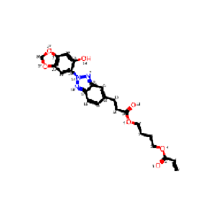 C=CC(=O)OCCCCOC(=O)CCc1ccc2nn(-c3cc4c(cc3O)OCO4)nc2c1